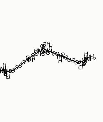 N=C(N)Nc1nc(-c2ccc(OCCOCCOCCOCCNC(=O)NCCOCCOCCNC(=O)CN(CCN(CC(=O)O)CC(=O)NCCOCCOCCNC(=O)NCCOCCOCCOCCOc3ccc(-c4nc(NC(=N)N)nc5ccc(Cl)cc45)cc3)CC(=O)O)cc2)c2cc(Cl)ccc2n1